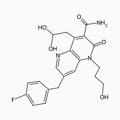 NC(=O)c1c(CC(O)O)c2ncc(Cc3ccc(F)cc3)cc2n(CCCO)c1=O